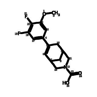 COc1cc(C2=CC3CC(C2)CN(C(=O)O)C3)cc(F)c1F